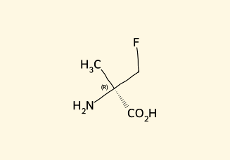 C[C@](N)(CF)C(=O)O